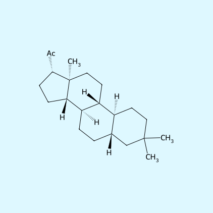 CC(=O)[C@H]1CC[C@H]2[C@@H]3CC[C@H]4CC(C)(C)CC[C@@H]4[C@H]3CC[C@]12C